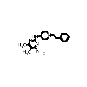 Cc1nc(NC2CCN(CCc3ccccc3)CC2)nc(N)c1C